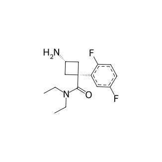 CCN(CC)C(=O)[C@]1(c2cc(F)ccc2F)C[C@@H](N)C1